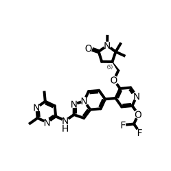 Cc1cc(Nc2cc3cc(-c4cc(OC(F)F)ncc4OC[C@H]4CC(=O)N(C)C4(C)C)ccn3n2)nc(C)n1